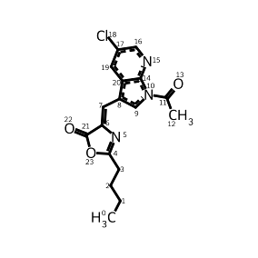 CCCCC1=NC(=Cc2cn(C(C)=O)c3ncc(Cl)cc23)C(=O)O1